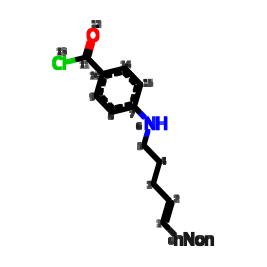 CCCCCCCCCC=CCCCNc1ccc(C(=O)Cl)cc1